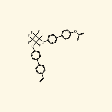 C=Cc1ccc(-c2ccc(OC3(F)C(F)(F)C(F)(F)C3(F)Oc3ccc(-c4ccc(OC(=C)F)cc4)cc3)cc2)cc1